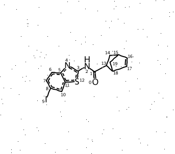 O=C(Nc1nc2ccc(I)cc2s1)C1CC2C=CC1C2